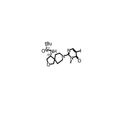 Cn1c(N2CCC3(CC2)COC[C@H]3N[S@+]([O-])C(C)(C)C)ncc(I)c1=O